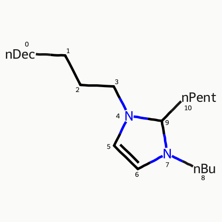 CCCCCCCCCCCCCN1C=CN(CCCC)C1CCCCC